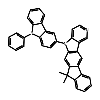 CC1(C)c2ccccc2-c2cc3c4cnccc4n(-c4ccc5c(c4)c4ccccc4n5-c4ccccc4)c3cc21